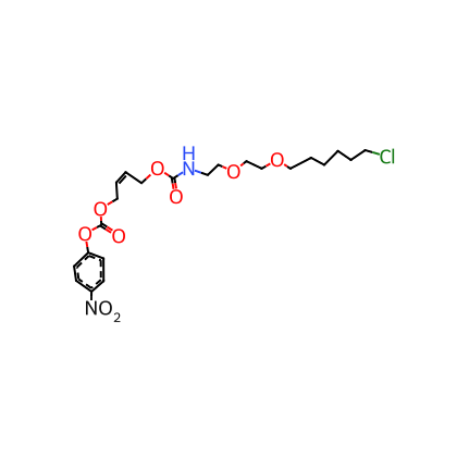 O=C(NCCOCCOCCCCCCCl)OC/C=C\COC(=O)Oc1ccc([N+](=O)[O-])cc1